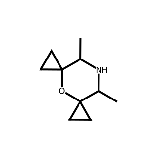 CC1NC(C)C2(CC2)OC12CC2